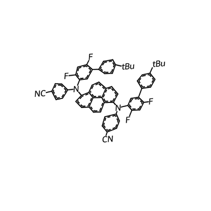 CC(C)(C)c1ccc(-c2cc(N(c3ccc(C#N)cc3)c3ccc4ccc5c(N(c6ccc(C#N)cc6)c6cc(-c7ccc(C(C)(C)C)cc7)c(F)cc6F)ccc6ccc3c4c65)c(F)cc2F)cc1